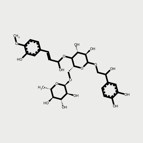 COc1ccc(/C=C/C(O)OC2[C@@H](CO[C@@H]3O[C@@H](C)[C@H](O)[C@@H](O)[C@@H]3O)OC(OCC(O)c3ccc(O)c(O)c3)[C@H](O)[C@H]2O)cc1O